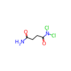 NC(=O)CCC(=O)N(Cl)Cl